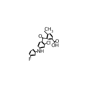 CCc1ccc(C(=O)O)cc1C(=O)c1ccc(Nc2cccc(F)c2)cc1Cl